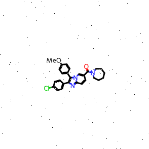 COc1ccc(-c2c(-c3ccc(Cl)cc3)nc3ccc(C(=O)N4CCCCCC4)cn23)cc1